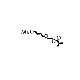 C=C(C)C(=O)OCCOCCCCOC